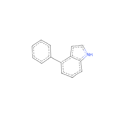 [c]1cc2c(-c3ccccc3)cccc2[nH]1